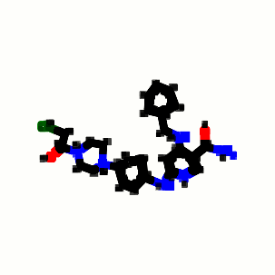 NC(=O)c1cnc(Nc2ccc(N3CCN(C(=O)CCl)CC3)cc2)cc1NCc1ccccc1